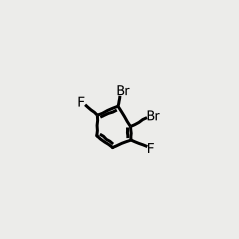 Fc1ccc(F)c(Br)c1Br